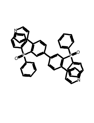 O=P(c1ccccc1)(c1ccccc1)c1cc(-c2ccc(-c3ccncc3)c(P(=O)(c3ccccc3)c3ccccc3)c2)ccc1-c1ccncc1